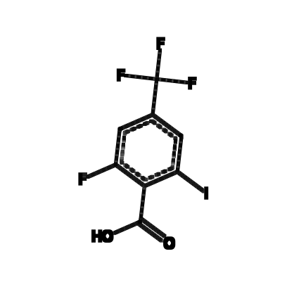 O=C(O)c1c(F)cc(C(F)(F)F)cc1I